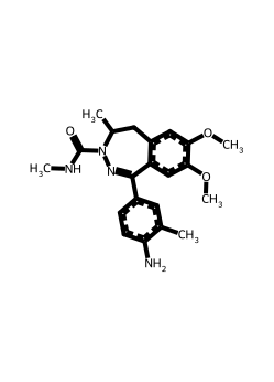 CNC(=O)N1N=C(c2ccc(N)c(C)c2)c2cc(OC)c(OC)cc2CC1C